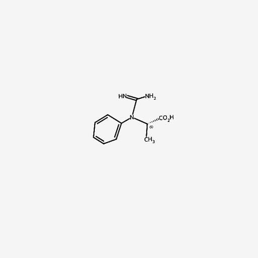 C[C@@H](C(=O)O)N(C(=N)N)c1ccccc1